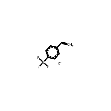 C=Cc1ccc([B-](F)(F)F)cc1.[K+]